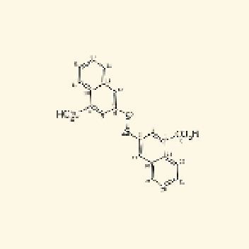 O=C(O)c1cc(SSc2cc(C(=O)O)c3ccccc3c2)cc2ccccc12